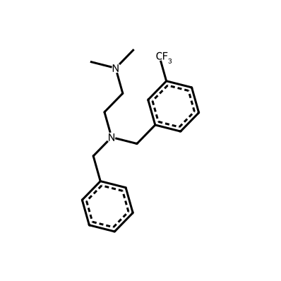 CN(C)CCN(Cc1ccccc1)Cc1cccc(C(F)(F)F)c1